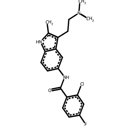 Cc1[nH]c2ccc(NC(=O)c3ccc(F)cc3Cl)cc2c1CCN(C)C